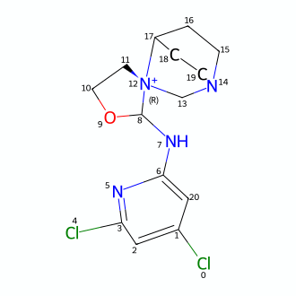 Clc1cc(Cl)nc(NC2OCC[N@@+]23CN2CCC3CC2)c1